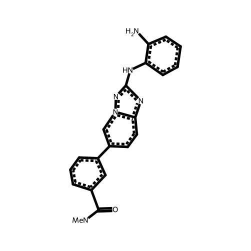 CNC(=O)c1cccc(-c2ccc3nc(Nc4ccccc4N)nn3c2)c1